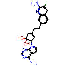 Nc1nc2cc(CCC3=C[C@@H](n4ccc5c(N)ncnc54)C(O)(O)C3)ccc2cc1F